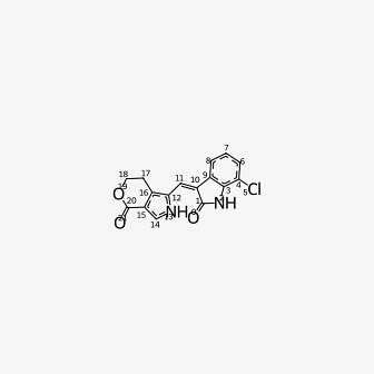 O=C1Nc2c(Cl)cccc2C1=Cc1[nH]cc2c1CCOC2=O